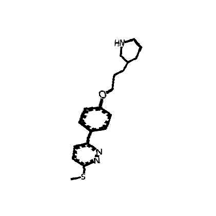 CSc1ccc(-c2ccc(OCCCC3CCCNC3)cc2)nn1